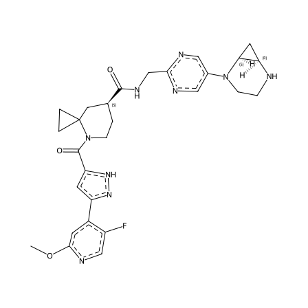 COc1cc(-c2cc(C(=O)N3CC[C@H](C(=O)NCc4ncc(N5CCN[C@@H]6C[C@@H]65)cn4)CC34CC4)[nH]n2)c(F)cn1